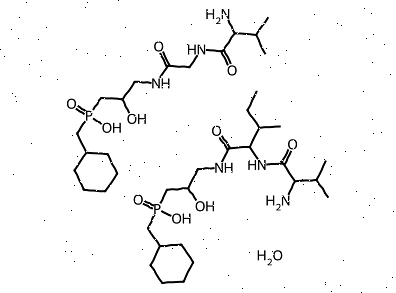 CC(C)C(N)C(=O)NCC(=O)NCC(O)CP(=O)(O)CC1CCCCC1.CCC(C)C(NC(=O)C(N)C(C)C)C(=O)NCC(O)CP(=O)(O)CC1CCCCC1.O